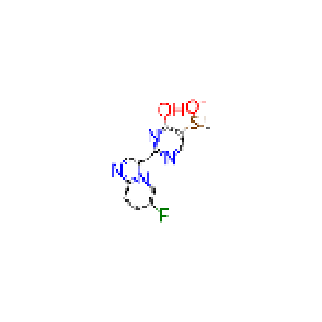 C[S+]([O-])c1cnc(-c2cnc3ccc(F)cn23)nc1O